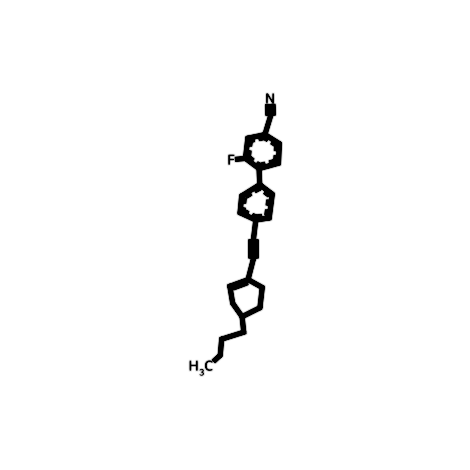 CCCCC1CC=C(C#Cc2ccc(-c3ccc(C#N)cc3F)cc2)CC1